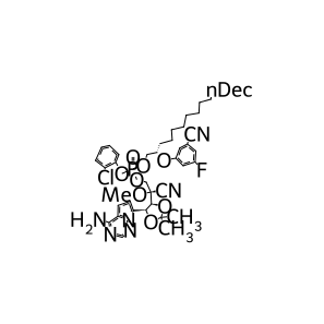 CCCCCCCCCCCCCCCCCC[C@@H](COP(=O)(OC[C@@](C#N)(OC)[C@H]1OC(C)(C)O[C@H]1c1ccc2c(N)ncnn12)Oc1ccccc1Cl)Oc1cc(F)cc(C#N)c1